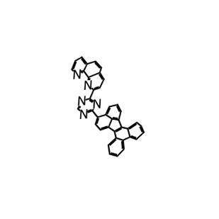 c1cnc2c(c1)ccc1ccc(-c3ncnc(-c4ccc5c6c(cccc46)-c4c-5c5ccccc5c5ccccc45)n3)nc12